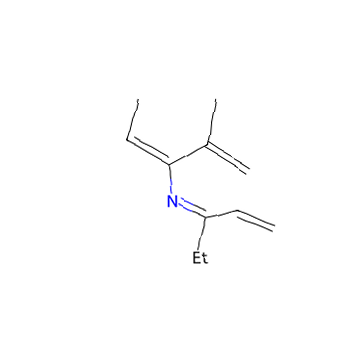 C=C/C(CC)=N\C(=C\C)C(=C)C